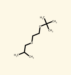 CC(C)COCCOC(C)(C)C